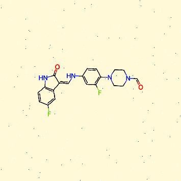 O=CN1CCN(c2ccc(NC=C3C(=O)Nc4ccc(F)cc43)cc2F)CC1